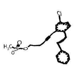 CS(=O)(=O)OCCC#Cc1cc(Cl)ccc1CCc1ccccc1